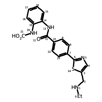 CCNCc1cnc(-c2ccc(C(=O)Nc3ccccc3NC(=O)O)cc2)s1